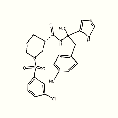 CC(Cc1ccc(C#N)cc1)(NC(=O)[C@H]1CCCN(S(=O)(=O)c2cccc(Cl)c2)C1)c1cnc[nH]1